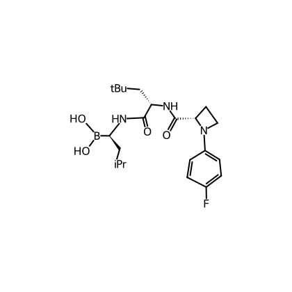 CC(C)C[C@H](NC(=O)[C@H](CC(C)(C)C)NC(=O)[C@@H]1CCN1c1ccc(F)cc1)B(O)O